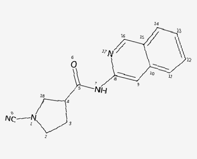 N#CN1CCC(C(=O)Nc2cc3ccccc3cn2)C1